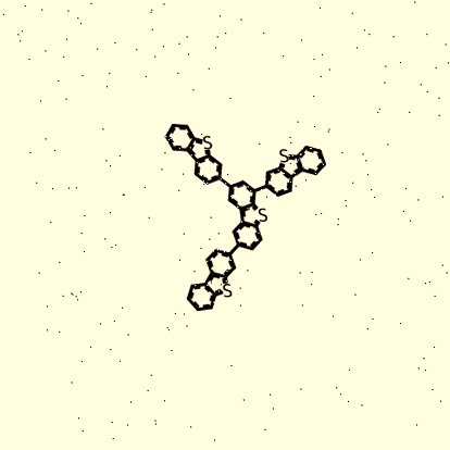 c1ccc2c(c1)sc1cc(-c3ccc4sc5c(-c6ccc7c(c6)sc6ccccc67)cc(-c6ccc7c(c6)sc6ccccc67)cc5c4c3)ccc12